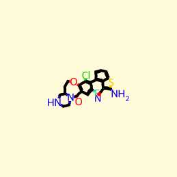 N#Cc1c(N)sc2cccc(-c3c(F)cc4c(c3Cl)OCCC3CNCCN3C4=O)c12